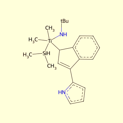 C[SiH](C)[Ti]([CH3])([CH3])([NH]C(C)(C)C)[CH]1C=C(c2ccc[nH]2)c2ccccc21